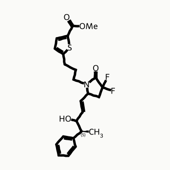 COC(=O)c1ccc(CCCN2C(=O)C(F)(F)CC2C=CC(O)[C@@H](C)c2ccccc2)s1